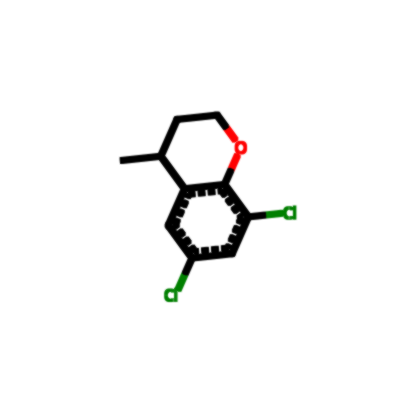 CC1CCOc2c(Cl)cc(Cl)cc21